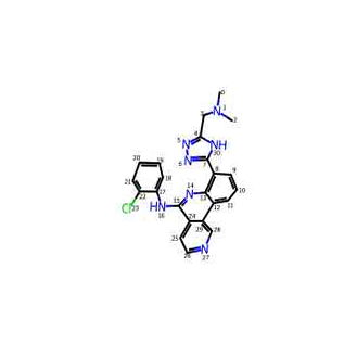 CN(C)Cc1nnc(-c2cccc3c2nc(Nc2ccccc2Cl)c2ccncc23)[nH]1